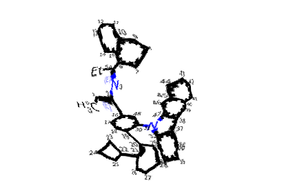 C/C=C(/N=C(\CC)c1cccc2ccccc12)c1ccc(C2=C(C3CCC3)CCC=C2)c(-n2c3ccccc3c3cc4ccccc4cc32)c1